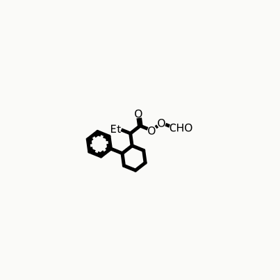 CCC(C(=O)OOC=O)C1CCCCC1c1ccccc1